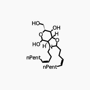 CCCCC/C=C\CCC1O[C@H]2[C@H](O)[C@@H](CO)OC(O)[C@@H]2N1CC/C=C\CCCCC